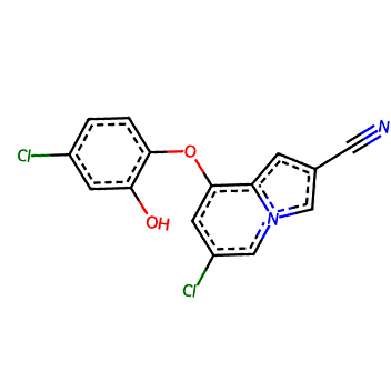 N#Cc1cc2c(Oc3ccc(Cl)cc3O)cc(Cl)cn2c1